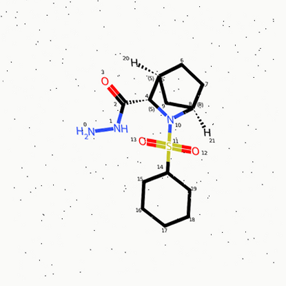 NNC(=O)[C@@H]1[C@H]2CC[C@H](C2)N1S(=O)(=O)C1CCCCC1